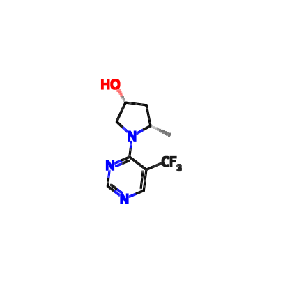 C[C@H]1C[C@@H](O)CN1c1ncncc1C(F)(F)F